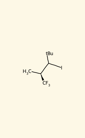 C[C@@H](C(I)C(C)(C)C)C(F)(F)F